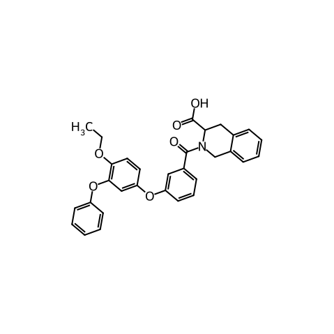 CCOc1ccc(Oc2cccc(C(=O)N3Cc4ccccc4CC3C(=O)O)c2)cc1Oc1ccccc1